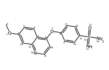 COc1ccc2c(Oc3ccc(S(=N)(N)=O)cc3)ccnc2c1